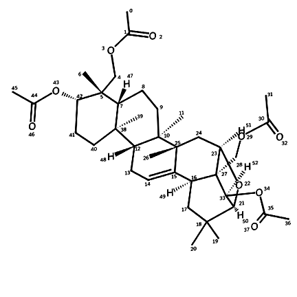 CC(=O)OC[C@]1(C)[C@@H]2CC[C@]3(C)[C@H](CC=C4[C@@H]5CC(C)(C)[C@@H]6O[C@H](C[C@]43C)[C@@]5(COC(C)=O)[C@H]6OC(C)=O)[C@@]2(C)CC[C@@H]1OC(C)=O